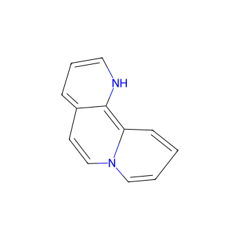 C1=CNC2=C3C=CC=CN3C=CC2=C1